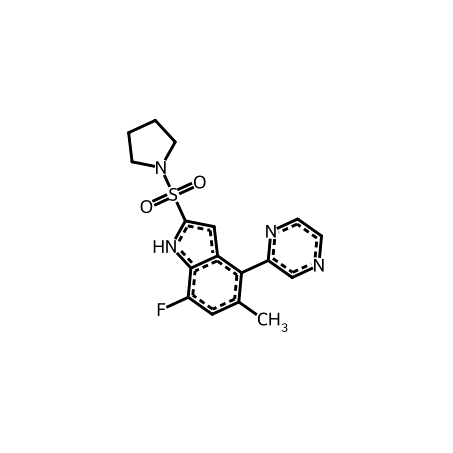 Cc1cc(F)c2[nH]c(S(=O)(=O)N3CCCC3)cc2c1-c1cnccn1